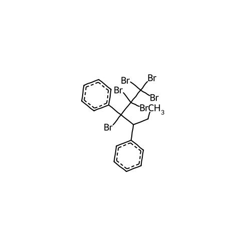 CCC(c1ccccc1)C(Br)(c1ccccc1)C(Br)(Br)C(Br)(Br)Br